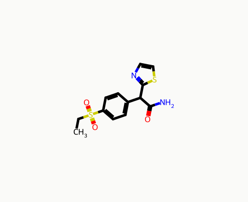 CCS(=O)(=O)c1ccc(C(C(N)=O)c2nccs2)cc1